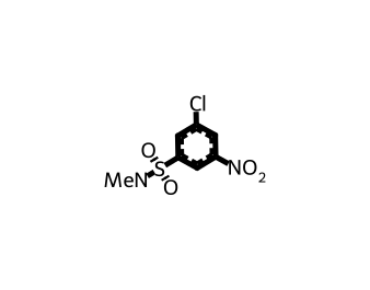 CNS(=O)(=O)c1cc(Cl)cc([N+](=O)[O-])c1